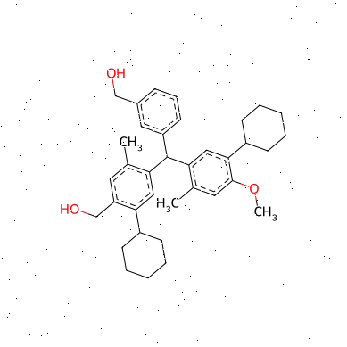 COc1cc(C)c(C(c2cccc(CO)c2)c2cc(C3CCCCC3)c(CO)cc2C)cc1C1CCCCC1